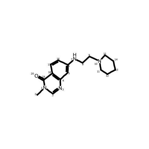 Cn1cnc2cc(NCCN3CCCCC3)ccc2c1=O